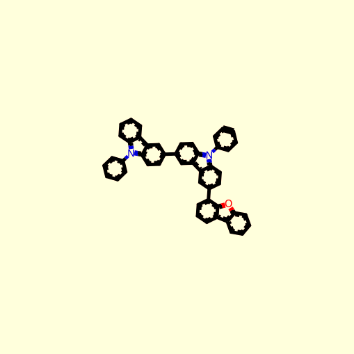 c1ccc(-n2c3ccc(-c4ccc5c(c4)c4ccccc4n5-c4ccccc4)cc3c3cc(-c4cccc5c4oc4ccccc45)ccc32)cc#1